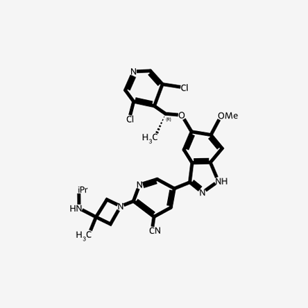 COc1cc2[nH]nc(-c3cnc(N4CC(C)(NC(C)C)C4)c(C#N)c3)c2cc1O[C@H](C)c1c(Cl)cncc1Cl